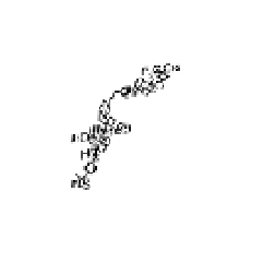 Cc1ncsc1-c1ccc([C@H](C)NC(=O)[C@@H]2C[C@@H](O)CN2C(=O)[C@@H](NC(=O)CN2CCN(CCCc3ccc(C(=O)NC4C(C)(C)C(Oc5ccc(C#N)c(C(F)(F)F)c5)C4(C)C)cc3)CC2)C(C)(C)C)cc1